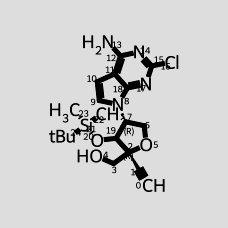 C#C[C@]1(CO)OC[C@@H](n2ccc3c(N)nc(Cl)nc32)C1O[Si](C)(C)C(C)(C)C